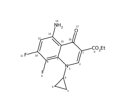 CCOC(=O)c1cn(C2CC2)c2c(F)c(F)cc(N)c2c1=O